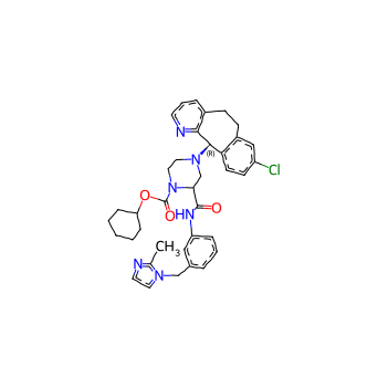 Cc1nccn1Cc1cccc(NC(=O)C2CN([C@@H]3c4ccc(Cl)cc4CCc4cccnc43)CCN2C(=O)OC2CCCCC2)c1